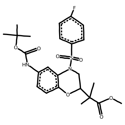 COC(=O)C(C)(C)C1CN(S(=O)(=O)c2ccc(F)cc2)c2cc(NC(=O)OC(C)(C)C)ccc2O1